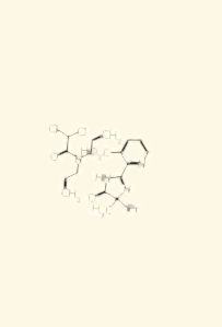 C=CCN(CC=C)C(=O)C(Cl)Cl.CC(C)C1(C)N=C(c2ncccc2C(=O)O)NC1=O